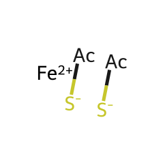 CC(=O)[S-].CC(=O)[S-].[Fe+2]